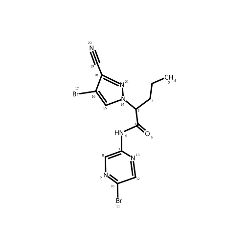 CCCC(C(=O)Nc1cnc(Br)cn1)n1cc(Br)c(C#N)n1